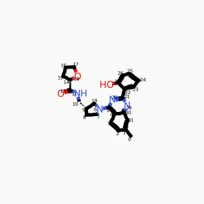 Cc1ccc2c(N3CC[C@H](CNC(=O)[C@H]4CCCO4)C3)nc(-c3ccccc3O)nc2c1